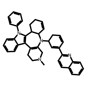 CN1CCC2=C(C1)N(C1C=C(c3ccc4ccccc4n3)C=CC1)C1C=CCCC1c1c2c2ccccc2n1-c1ccccc1